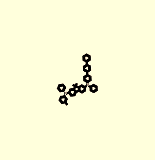 Cc1cccc(N(c2ccccc2)c2ccc3c(c2)C(C)(C)c2cc(N(c4ccccc4)c4ccc(-c5ccc(-c6ccccc6)cc5)cc4)ccc2-3)c1